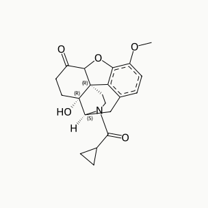 COc1ccc2c3c1OC1C(=O)CC[C@]4(O)[C@H](C2)N(C(=O)C2CC2)CC[C@@]314